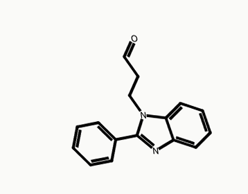 O=CCCn1c(-c2ccccc2)nc2ccccc21